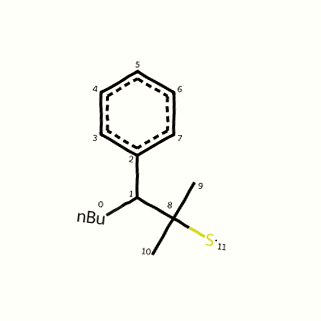 CCCCC(c1ccccc1)C(C)(C)[S]